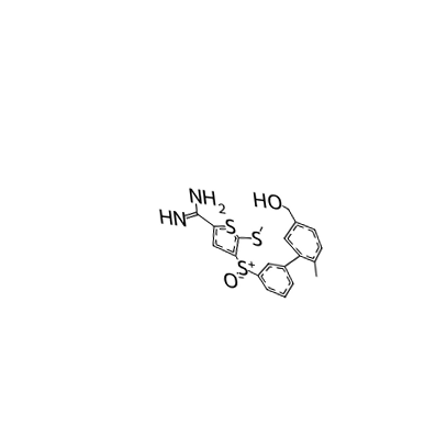 CSc1sc(C(=N)N)cc1[S+]([O-])c1cccc(-c2cc(CO)ccc2C)c1